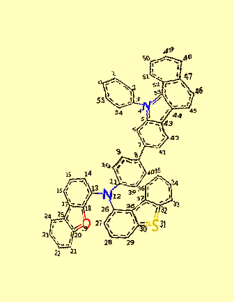 c1ccc(-n2c3cc(-c4ccc(N(c5cccc6c5oc5ccccc56)c5cccc6sc7ccccc7c56)cc4)ccc3c3ccc4ccccc4c32)cc1